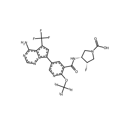 [2H]C([2H])([2H])Oc1ncc(-c2cc(C(F)(F)F)c3c(N)ncnn23)cc1C(=O)N[C@@H]1CN(C(=O)O)C[C@@H]1F